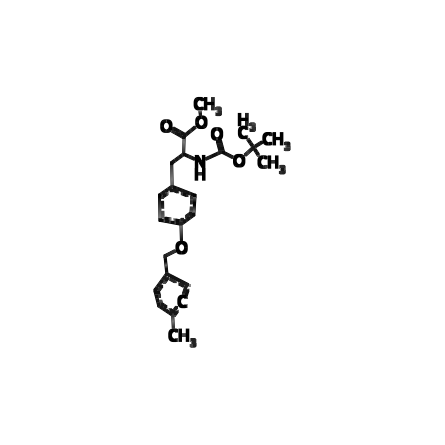 COC(=O)C(Cc1ccc(OCc2ccc(C)cc2)cc1)NC(=O)OC(C)(C)C